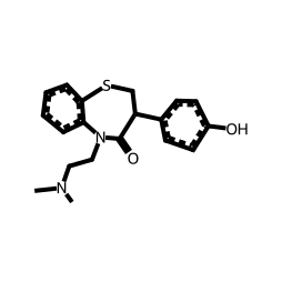 CN(C)CCN1C(=O)C(c2ccc(O)cc2)CSc2ccccc21